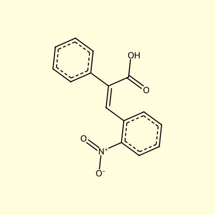 O=C(O)C(=Cc1ccccc1[N+](=O)[O-])c1ccccc1